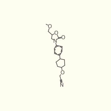 COCC1CN(c2ccc(C3CCC(OCC#N)CC3)cc2)C(=O)O1